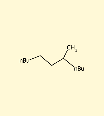 [CH2]CCCCCC(C)CCCC